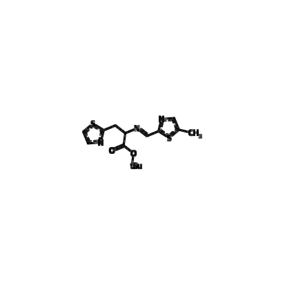 Cc1cnc(C=NC(Cc2nccs2)C(=O)OC(C)(C)C)s1